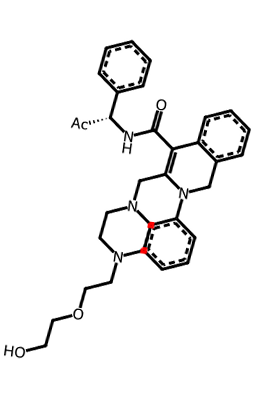 CC(=O)[C@@H](NC(=O)C1=C(CN2CCN(CCOCCO)CC2)N(c2ccccc2)Cc2ccccc21)c1ccccc1